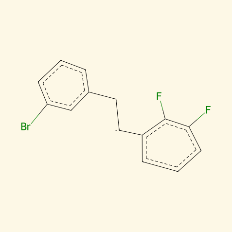 Fc1cccc([CH]Cc2cccc(Br)c2)c1F